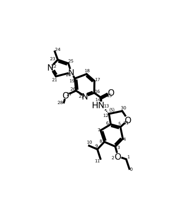 CCOc1cc2c(cc1C(C)C)[C@H](NC(=O)c1ccc(-n3cnc(C)c3)c(OC)n1)CO2